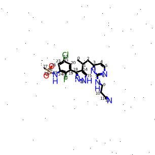 CC(Cc1ccnc(NCCC#N)n1)c1c[nH]nc1-c1cc(Cl)cc(NS(C)(=O)=O)c1F